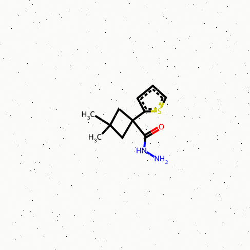 CC1(C)CC(C(=O)NN)(c2cccs2)C1